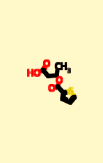 CC(CC(=O)O)OC(=O)c1cccs1